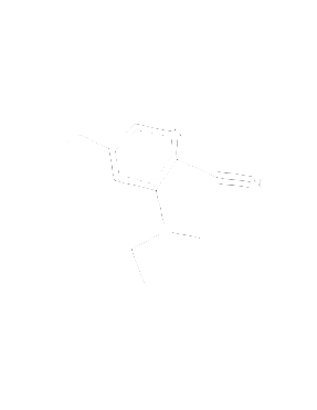 Bc1cnc(C#N)c([S+]([O-])CC)c1